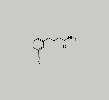 N#Cc1cccc(CCCC(N)=O)c1